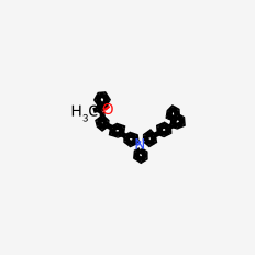 Cc1c(-c2cccc(-c3ccc(-c4ccc(N(c5ccccc5)c5ccc(-c6ccc(-c7cccc8ccccc78)cc6)cc5)cc4)cc3)c2)oc2ccccc12